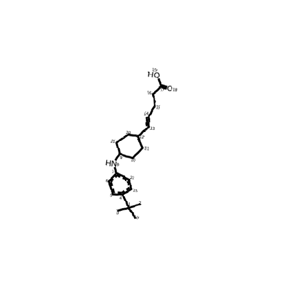 CC(C)(C)c1ccc(NC2CCC(/C=C/CCC(=O)O)CC2)cc1